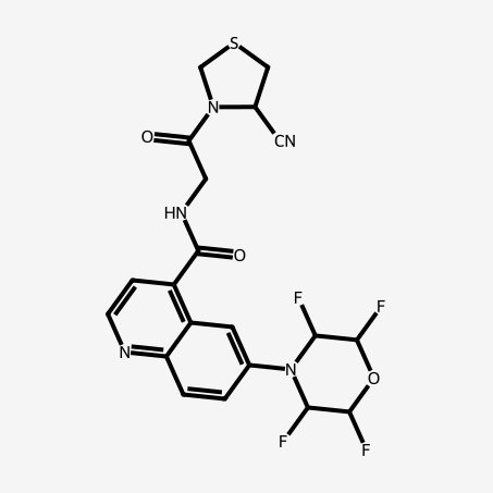 N#CC1CSCN1C(=O)CNC(=O)c1ccnc2ccc(N3C(F)C(F)OC(F)C3F)cc12